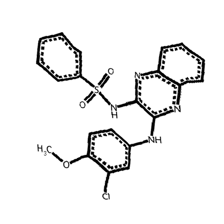 COc1ccc(Nc2nc3ccccc3nc2NS(=O)(=O)c2ccccc2)cc1Cl